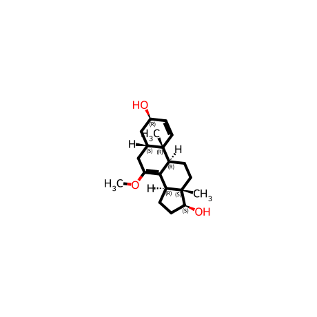 COC1=C2[C@H](CC[C@]3(C)[C@@H](O)CC[C@@H]23)[C@@]2(C)C=C[C@H](O)C[C@H]2C1